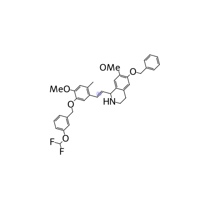 COc1cc(C)c(/C=C/C2NCCc3cc(OCc4ccccc4)c(OC)cc32)cc1OCc1cccc(OC(F)F)c1